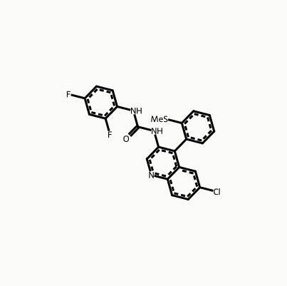 CSc1ccccc1-c1c(NC(=O)Nc2ccc(F)cc2F)cnc2ccc(Cl)cc12